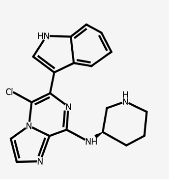 Clc1c(-c2c[nH]c3ccccc23)nc(N[C@@H]2CCCNC2)c2nccn12